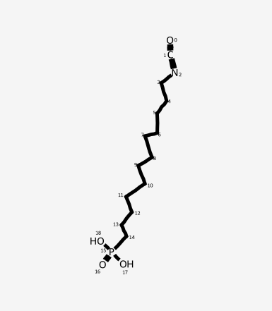 O=C=NCCCCCCCCCCCCP(=O)(O)O